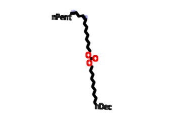 CCCCC/C=C\C/C=C\CCCCCCCCOC(=O)OCCCCCCCCCCCCCCCCCCCC